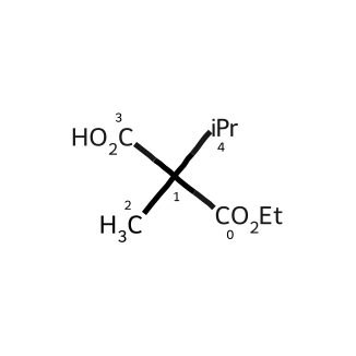 CCOC(=O)C(C)(C(=O)O)C(C)C